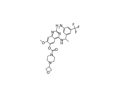 COc1cc2nc(C)nc(NC(C)c3cc(N)cc(C(F)(F)F)c3)c2cc1OC(=O)N1CCN(C2COC2)CC1